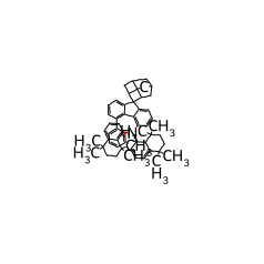 CC1(C)CCC(C)(C)C2C1=CC=CC2N(c1cccc2c1-c1c(-c3ccccc3)cccc1C21C2CC3CC4CC1C42C3)c1cccc2c1C(C)(C)CCC2(C)C